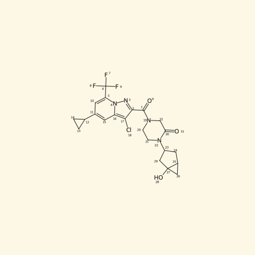 O=C(c1nn2c(C(F)(F)F)cc(C3CC3)cc2c1Cl)N1CCN(C2CC3CC3(O)C2)C(=O)C1